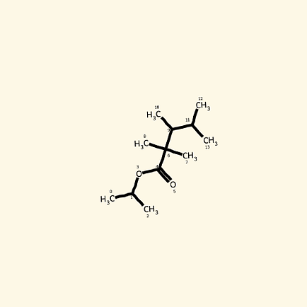 CC(C)OC(=O)C(C)(C)C(C)C(C)C